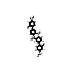 COc1ccc(-c2ccc3c(c2)N(C)c2ccc(-c4ccc(OC)cc4C)cc2N3C)c(C)c1